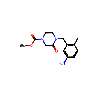 Cc1ccc(N)cc1CN1CCN(C(=O)OC(C)(C)C)CC1=O